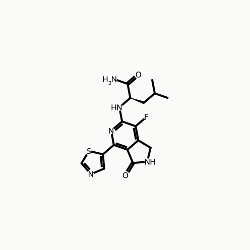 CC(C)C[C@@H](Nc1nc(-c2cncs2)c2c(c1F)CNC2=O)C(N)=O